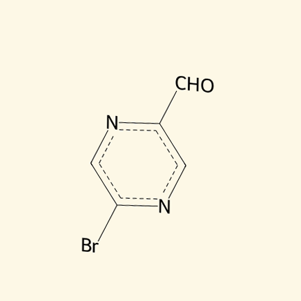 O=Cc1cnc(Br)cn1